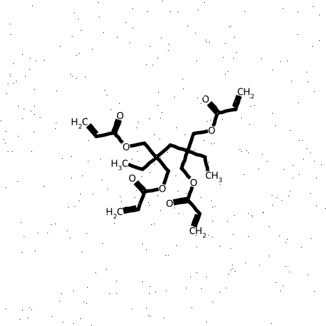 C=CC(=O)OCC(CC)(COC(=O)C=C)CC(CC)(COC(=O)C=C)COC(=O)C=C